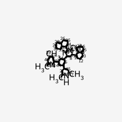 CC1=CC(c2cc(C3=CC(c4cccc5ccccc45)N(C)C(c4cccc5ccccc45)=N3)cc(-c3cc(C)cc(C)n3)c2)=CC(C)N1